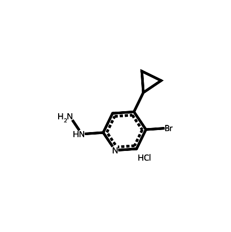 Cl.NNc1cc(C2CC2)c(Br)cn1